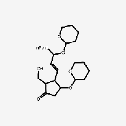 CCCCCC(C=CC1C(OC2CCCCO2)CC(=O)C1CO)OC1CCCCO1